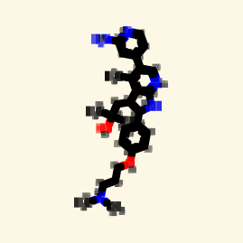 Cc1c(-c2ccnc(N)c2)cnc2c1C(CC(C)(C)O)C(c1ccc(OCCCN(C)C)cc1)N2